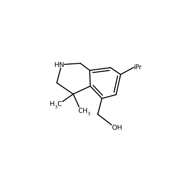 CC(C)c1cc(CO)c2c(c1)CNCC2(C)C